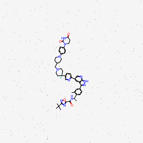 Cc1cc(-c2n[nH]c3ncc(-c4ccc(C5(F)CCN(CC6CCN(c7ccc(N8CCC(=O)NC8=O)cc7)CC6)CC5)cn4)cc23)ccc1[C@@H](C)NC(=O)c1nc(C(C)(C)C)no1